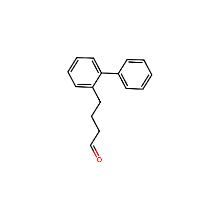 O=CCCCc1ccccc1-c1ccccc1